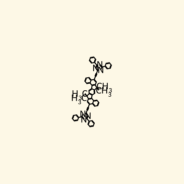 CC1(C)c2cc3c(cc2-c2c1cc(C#Cc1nc(-c4ccccc4)nc(-c4ccccc4)n1)c1ccccc21)C(C)(C)c1cc(C#Cc2nc(-c4ccccc4)nc(-c4ccccc4)n2)c2ccccc2c1-3